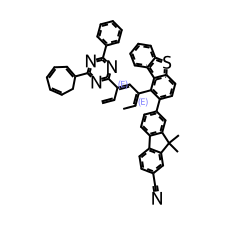 C=C/C(=C\C(=C/C)c1c(-c2ccc3c(c2)C(C)(C)c2cc(C#N)ccc2-3)ccc2sc3ccccc3c12)c1nc(C2=CC=CC=CC2)nc(-c2ccccc2)n1